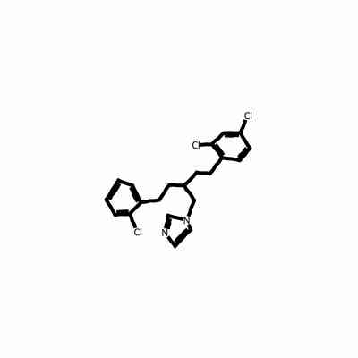 Clc1ccc(CCC(CCc2ccccc2Cl)Cn2ccnc2)c(Cl)c1